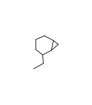 CCC1CCCC2C[C]12